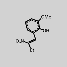 CCC(=Cc1cccc(OC)c1O)[N+](=O)[O-]